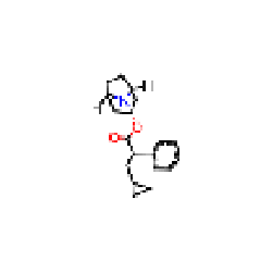 CN1[C@@H]2CC[C@H]1C[C@@H](OC(=O)C(CC1CC1)c1ccccc1)C2